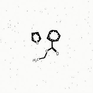 CCOC(=O)c1ccccc1.c1ccoc1